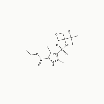 CCOC(=O)c1[nH]c(C)c(S(=O)(=O)NC2(C(F)(F)F)COC2)c1F